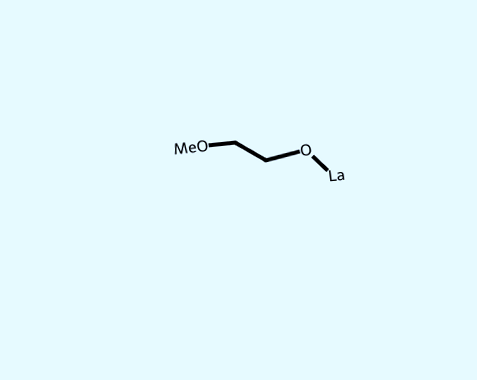 COCC[O][La]